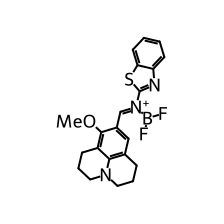 COc1c(/C=[N+](\B(F)F)c2nc3ccccc3s2)cc2c3c1CCCN3CCC2